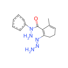 CC1=CCCC(N=NN)=C1C(=O)N(N)c1ccccc1